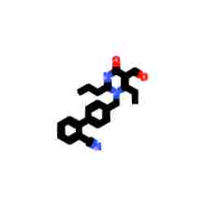 CCCc1nc(=O)c(C=O)c(CC)n1Cc1ccc(-c2ccccc2C#N)cc1